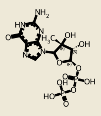 C[C@]1(O)C(n2cnc3c(=O)[nH]c(N)nc32)O[C@H](OP(=O)(O)OP(=O)(O)O)[C@H]1O